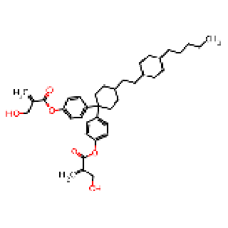 C=C(CO)C(=O)Oc1ccc(C2(c3ccc(OC(=O)C(=C)CO)cc3)CCC(CCC3CCC(CCCCC)CC3)CC2)cc1